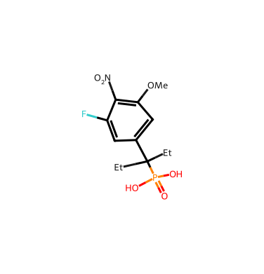 CCC(CC)(c1cc(F)c([N+](=O)[O-])c(OC)c1)P(=O)(O)O